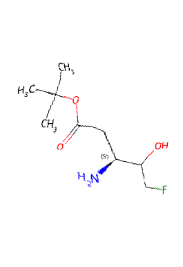 CC(C)(C)OC(=O)C[C@H](N)C(O)CF